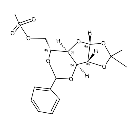 CC1(C)O[C@H]2O[C@H]3[C@H](OC(c4ccccc4)O[C@@H]3COS(C)(=O)=O)[C@H]2O1